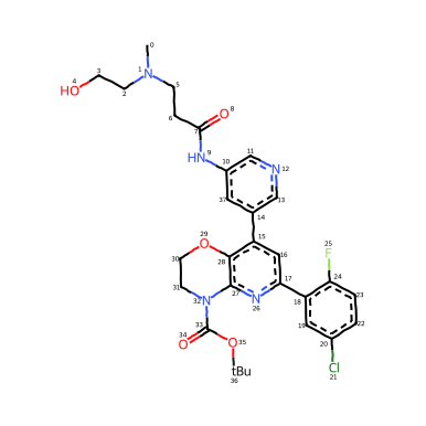 CN(CCO)CCC(=O)Nc1cncc(-c2cc(-c3cc(Cl)ccc3F)nc3c2OCCN3C(=O)OC(C)(C)C)c1